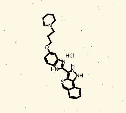 C1=c2ccccc2=C2NNC(c3nc4cc(OCCCN5CCCCC5)ccc4[nH]3)=C2S1.Cl